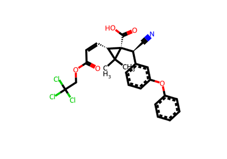 CC1(C)[C@H](/C=C\C(=O)OCC(Cl)(Cl)Cl)[C@@]1(C(=O)O)[C@@H](C#N)c1cccc(Oc2ccccc2)c1